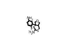 NC1=NC2(c3cc(N)ccc3F)COCC2CS1